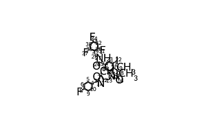 Cc1oc(-c2ccc(F)cc2)nc1CN1C(=O)C(C)(C)c2c(I)cc(C(=O)NCc3c(F)cc(F)cc3F)cc21